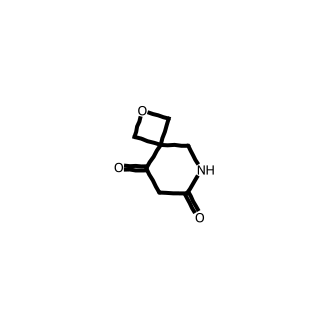 O=C1CC(=O)C2(CN1)COC2